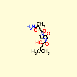 CC(C)CCC(O)C(=O)N1CC(=O)C2C1CCN2C(=O)[CH]CC(C)C(N)=O